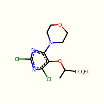 CCOC(=O)C(C)Oc1c(Cl)nc(Cl)nc1N1CCOCC1